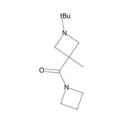 CC1(C(=O)N2CCC2)CN(C(C)(C)C)C1